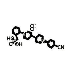 N#Cc1ccc(-[n+]2ccc(-c3cc[n+](-c4ccccc4CP(=O)(O)O)cc3)cc2)cc1.[Cl-].[Cl-]